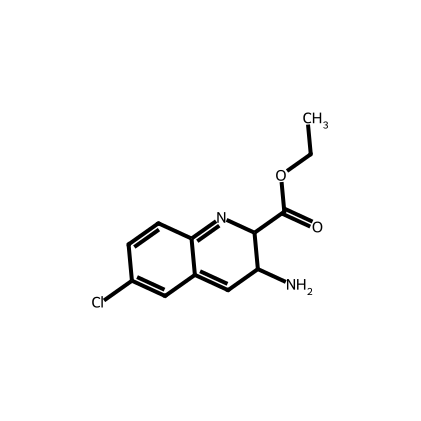 CCOC(=O)C1N=c2ccc(Cl)cc2=CC1N